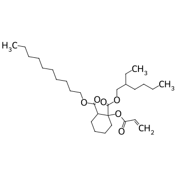 C=CC(=O)OC1(C(=O)OCC(CC)CCCC)CCCCC1C(=O)OCCCCCCCCCC